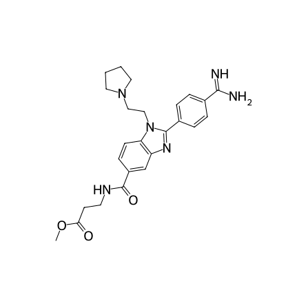 COC(=O)CCNC(=O)c1ccc2c(c1)nc(-c1ccc(C(=N)N)cc1)n2CCN1CCCC1